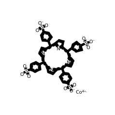 O=S(=O)([O-])c1ccc(-c2c3nc(c(-c4ccc(S(=O)(=O)[O-])cc4)c4ccc([nH]4)c(-c4ccc(S(=O)(=O)[O-])cc4)c4nc(c(-c5ccc(S(=O)(=O)[O-])cc5)c5ccc2[nH]5)C=C4)C=C3)cc1.[Co+4]